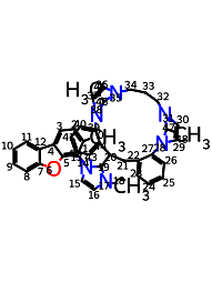 Cc1ccc2c(oc3ccccc32)c1N1C=CN(C)C1C1Cc2ccccc2N2C=CN(CCCN3C=CN(c4ccccc41)C3C)C2C